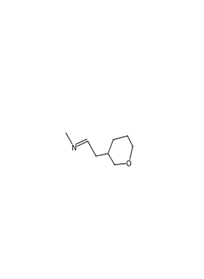 C/N=C/CC1CCCOC1